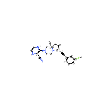 N#Cc1nccnc1N1CCN2[C@@H](CC[C@@H]2C#Cc2cccc(F)c2)C1